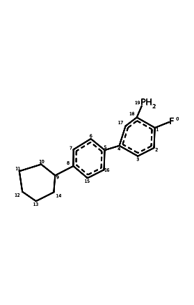 Fc1ccc(-c2ccc(C3CCCCC3)cc2)cc1P